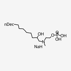 CCCCCCCCCCCCCCCCC(O)CN(C)CCOP(=O)(O)O.[NaH]